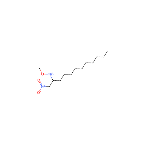 CCCCCCCCCCC(C[N+](=O)[O-])NOC